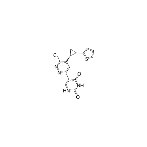 O=c1[nH]cc(-c2cc([C@H]3CC3c3cccs3)c(Cl)nn2)c(=O)[nH]1